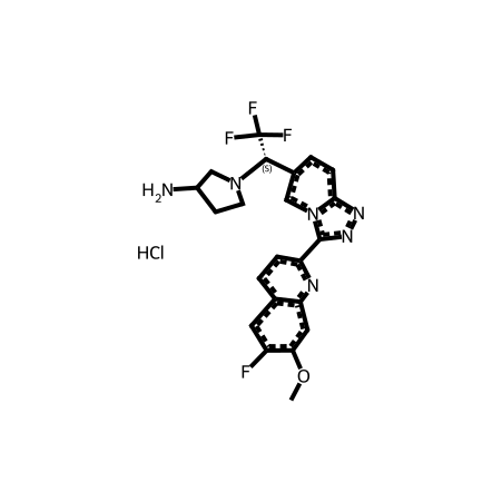 COc1cc2nc(-c3nnc4ccc([C@H](N5CCC(N)C5)C(F)(F)F)cn34)ccc2cc1F.Cl